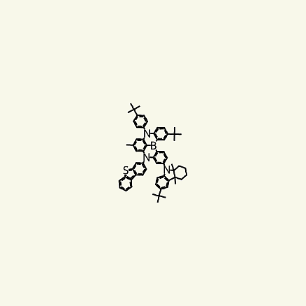 Cc1cc2c3c(c1)N(c1ccc4c(c1)sc1ccccc14)c1cc(N4c5ccc(C(C)(C)C)cc5C5(C)CCCCC45C)ccc1B3c1cc(C(C)(C)C)ccc1N2c1ccc(C(C)(C)C)cc1